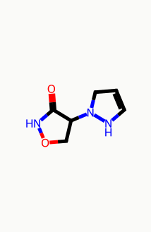 O=C1NOCC1N1CC=CN1